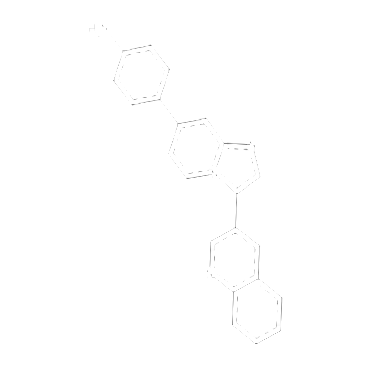 Nc1ccc(-c2ccn3c(-c4cnc5ccccc5c4)cnc3c2)cc1